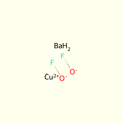 [BaH2].[Cu+2].[O-]F.[O-]F